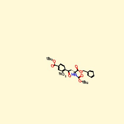 CC(C)(C)OC(=O)N[C@H](CC(=O)c1ccc(C(=O)OC(C)(C)C)cc1[N+](=O)[O-])C(=O)OCc1ccccc1